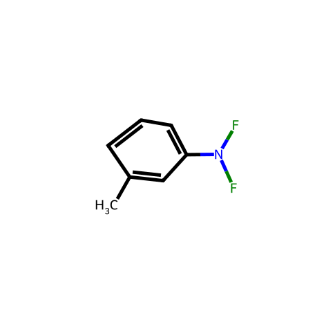 Cc1cccc(N(F)F)c1